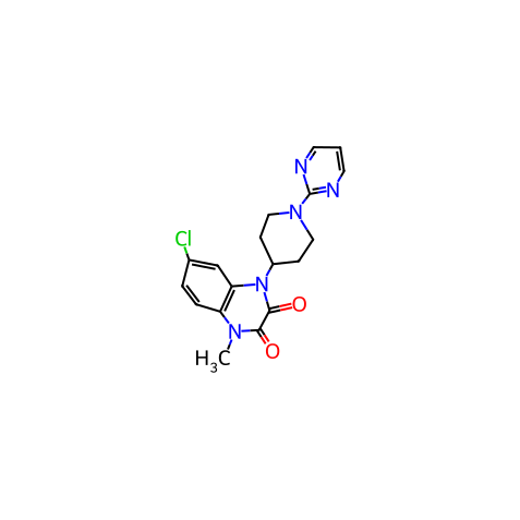 Cn1c(=O)c(=O)n(C2CCN(c3ncccn3)CC2)c2cc(Cl)ccc21